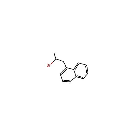 CC(Br)Cc1cccc2ccccc12